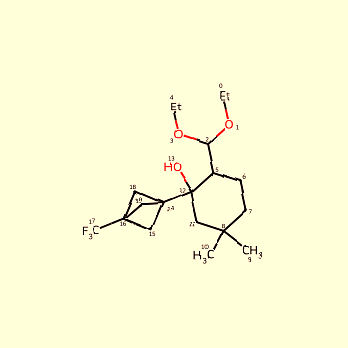 CCOC(OCC)C1CCC(C)(C)CC1(O)C12CC(C(F)(F)F)(C1)C2